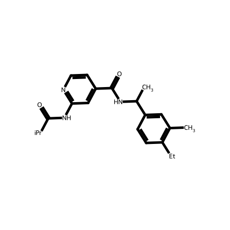 CCc1ccc(C(C)NC(=O)c2ccnc(NC(=O)C(C)C)c2)cc1C